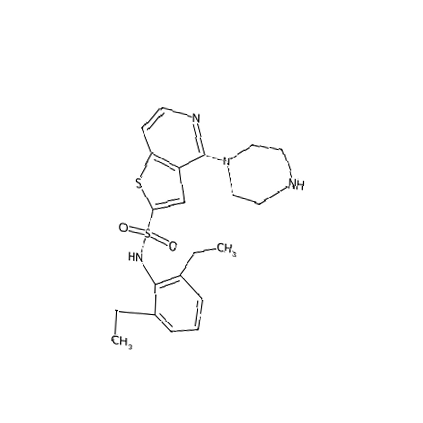 CCc1cccc(CC)c1NS(=O)(=O)c1cc2c(N3CCNCC3)nccc2s1